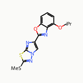 CSc1nn2cc(-c3nc4c(OC(C)C)cccc4o3)nc2s1